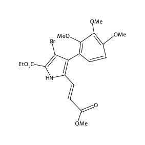 CCOC(=O)c1[nH]c(C=CC(=O)OC)c(-c2ccc(OC)c(OC)c2OC)c1Br